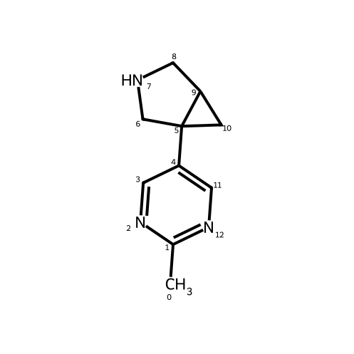 Cc1ncc(C23CNCC2C3)cn1